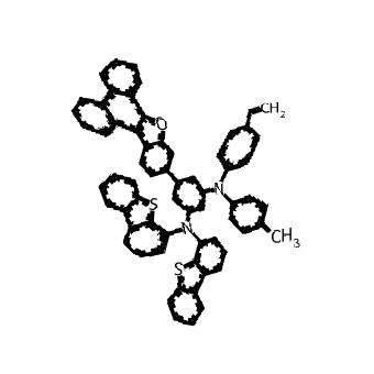 C=Cc1ccc(N(c2ccc(C)cc2)c2cc(-c3ccc4c(c3)oc3c5ccccc5c5ccccc5c43)cc(N(c3cccc4c3sc3ccccc34)c3cccc4c3sc3ccccc34)c2)cc1